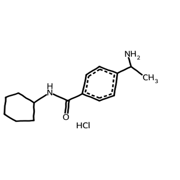 CC(N)c1ccc(C(=O)NC2CCCCC2)cc1.Cl